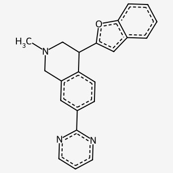 CN1Cc2cc(-c3ncccn3)ccc2C(c2cc3ccccc3o2)C1